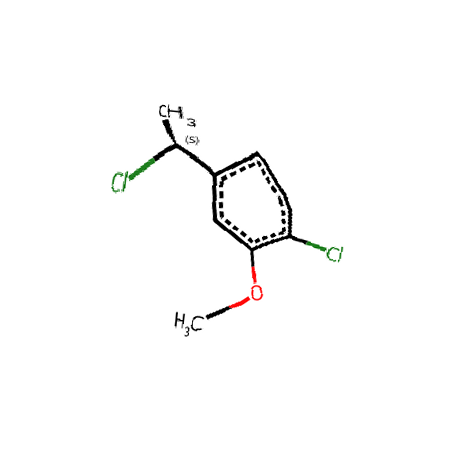 COc1cc([C@H](C)Cl)ccc1Cl